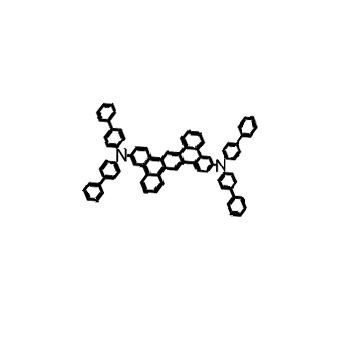 c1ccc(-c2ccc(N(c3ccc(-c4ccccc4)cc3)c3ccc4c(c3)c3ccccc3c3cc5c6ccc(N(c7ccc(-c8ccccc8)cc7)c7ccc(-c8ccccc8)cc7)cc6c6ccccc6c5cc43)cc2)cc1